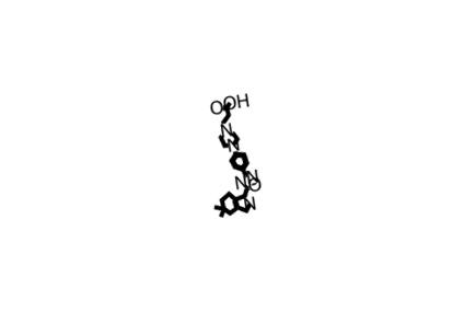 CC1(C)CCC2=C(CN=C2c2nc(-c3ccc(N4CCN(CCC(=O)O)CC4)cc3)no2)C1